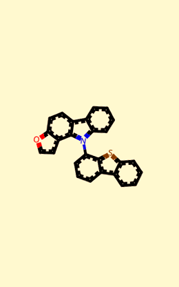 c1ccc2c(c1)sc1c(-n3c4ccccc4c4ccc5occc5c43)cccc12